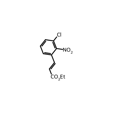 CCOC(=O)C=Cc1cccc(Cl)c1[N+](=O)[O-]